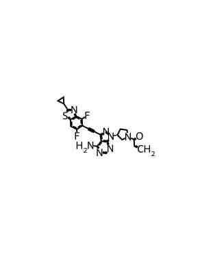 C=CC(=O)N1CC[C@H](n2nc(C#Cc3c(F)cc4sc(C5CC5)nc4c3F)c3c(N)ncnc32)C1